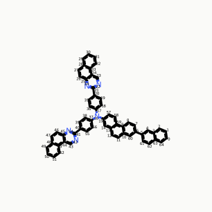 c1ccc2cc(-c3ccc4c(ccc5cc(N(c6ccc(-c7ncc8c(ccc9ccccc98)n7)cc6)c6ccc(-c7ncc8c(ccc9ccccc98)n7)cc6)ccc54)c3)ccc2c1